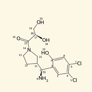 N[C@H](c1cc(Cl)c(Cl)cc1O)C1CCN(C(=O)[C@H](O)CO)C1